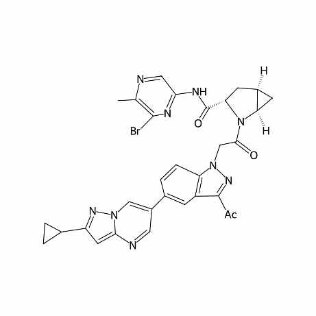 CC(=O)c1nn(CC(=O)N2[C@@H]3C[C@@H]3C[C@H]2C(=O)Nc2cnc(C)c(Br)n2)c2ccc(-c3cnc4cc(C5CC5)nn4c3)cc12